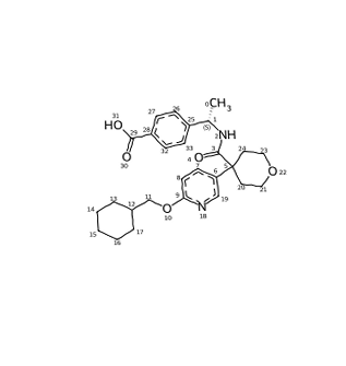 C[C@H](NC(=O)C1(c2ccc(OCC3CCCCC3)nc2)CCOCC1)c1ccc(C(=O)O)cc1